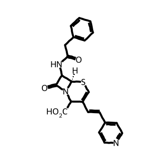 O=C(Cc1ccccc1)NC1C(=O)N2C(C(=O)O)C(/C=C/c3ccncc3)=CS[C@H]12